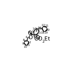 CCOC(=O)CC1(C(=O)OCc2ccccc2)CCN(Cc2ccccc2)CC1=O